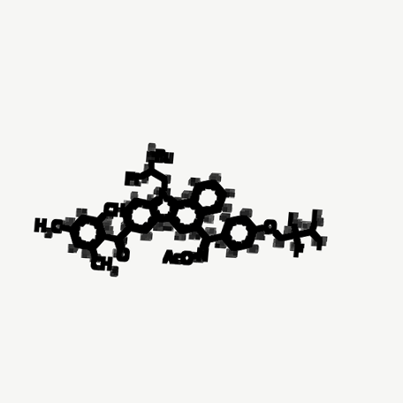 CCCCC(CC)Cn1c2ccc(C(=O)c3c(C)cc(C)cc3C)cc2c2cc(/C(=N\OC(C)=O)c3ccc(OCC(F)(F)C(F)F)cc3)c3ccccc3c21